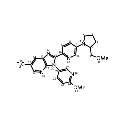 COCC1CCCN1c1ccc(-c2nc3cc(C(F)(F)F)cnc3n2-c2ccc(OC)nc2)nc1